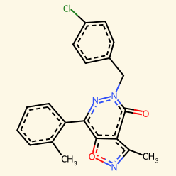 Cc1ccccc1-c1nn(Cc2ccc(Cl)cc2)c(=O)c2c(C)noc12